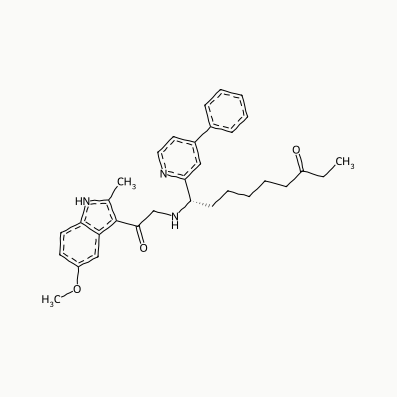 CCC(=O)CCCCC[C@H](NCC(=O)c1c(C)[nH]c2ccc(OC)cc12)c1cc(-c2ccccc2)ccn1